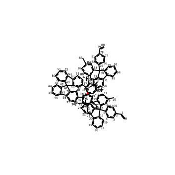 C=Cc1ccc(C2(c3cc(C)ccc3C)c3ccccc3-c3ccc(N(c4cc(F)c(F)c(F)c4)c4ccc5c(c4)C4(c6ccccc6-5)c5ccccc5-c5ccc(N(c6cc(F)c(F)c(F)c6)c6ccc7c(c6)C(c6ccc(C=C)cc6)(c6cc(C)ccc6C)c6ccccc6-7)cc54)cc32)cc1